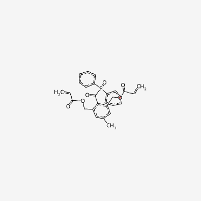 C=CC(=O)OCc1cc(C)cc(COC(=O)C=C)c1C(=O)P(=O)(c1ccccc1)c1ccccc1